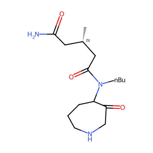 CCCCN(C(=O)C[C@@H](C)CC(N)=O)C1CCCNCC1=O